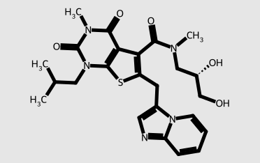 CC(C)Cn1c(=O)n(C)c(=O)c2c(C(=O)N(C)C[C@H](O)CO)c(Cc3cnc4ccccn34)sc21